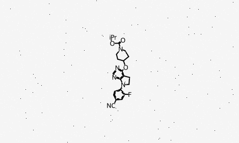 CC(C)OC(=O)N1CCC(Oc2ncnc3c2CCN3c2ccc(C#N)cc2F)CC1